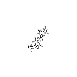 COc1c(C(C)(C)C)cc2c(c1-c1cc(C)cc(C)c1)C=C(C)C2[Si](C)(C)C1C(C)=Cc2c(-c3cc(C)cc(C)c3)cc(C)cc21